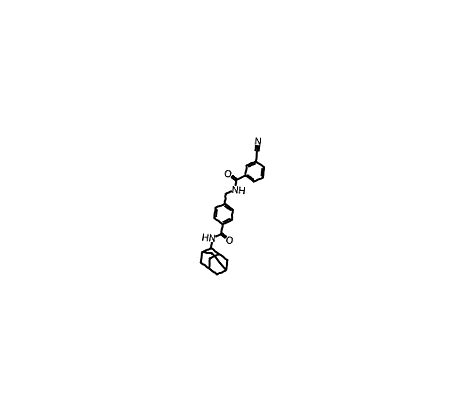 N#Cc1cccc(C(=O)NCc2ccc(C(=O)NC3C4CC5CC(C4)CC3C5)cc2)c1